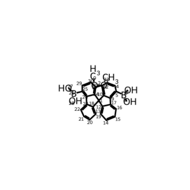 COc1ccc(B(O)O)c2c1C1(c3ccccc3-2)c2ccccc2-c2c(B(O)O)ccc(OC)c21